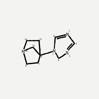 C1=NC=NCN1C12CCN(CC1)C2